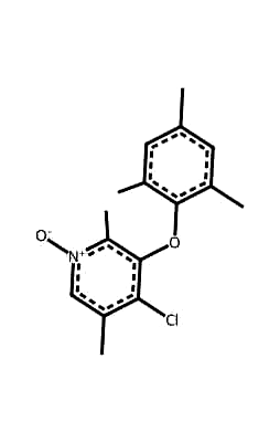 Cc1cc(C)c(Oc2c(Cl)c(C)c[n+]([O-])c2C)c(C)c1